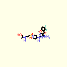 COc1ccc(F)c(F)c1C(=O)c1cnc(NC2CCN(S(=O)(=O)CCCNC(C)CO)CC2)nc1N